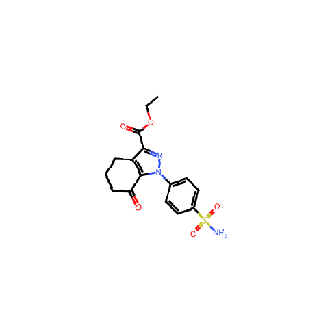 CCOC(=O)c1nn(-c2ccc(S(N)(=O)=O)cc2)c2c1CCCC2=O